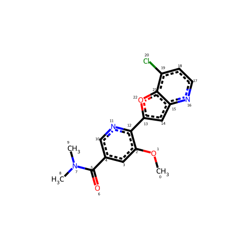 COc1cc(C(=O)N(C)C)cnc1-c1cc2nccc(Cl)c2o1